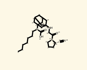 CCCCCCCN(C(=O)O)C12CC3CC(CC(NCC(=O)N4CCC[C@H]4C#N)(C3)C1)C2